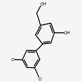 OCc1cc(O)cc(-c2cc(Cl)cc(Cl)c2)c1